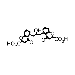 O=C(O)c1cc(=O)c2c(CC(O)Cc3cccc4oc(C(=O)O)cc(=O)c34)cccc2o1